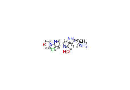 CC1(N)CCC(c2c(N)cc(-c3cnc(N4CCOCC4)c(Cl)c3)nc2CO)CC1